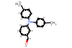 Cc1ccc(N(c2ccc(C)cc2)c2cccc(C=O)c2)cc1